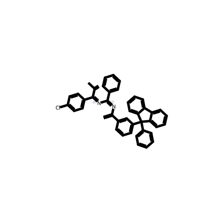 C=C(C)/C(=N\C(=N/C(=C)c1cccc(C2(c3ccccc3)c3ccccc3-c3ccccc32)c1)c1ccccc1)c1ccc(Cl)cc1